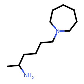 CC(N)CCCCN1CCCCCC1